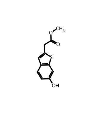 COC(=O)Cc1cc2ccc(O)cc2s1